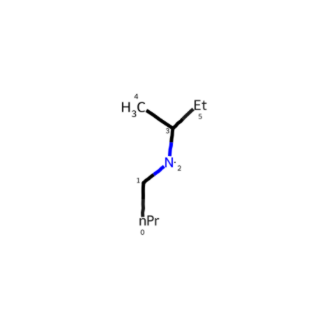 CCCC[N]C(C)CC